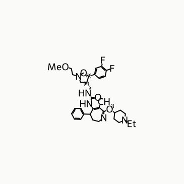 CCN1CCC(OC2=NCCC(c3ccccc3)C(NC(=O)NC[C@@H]3CN(CCOC)O[C@H]3c3ccc(F)c(F)c3)=C2C)CC1